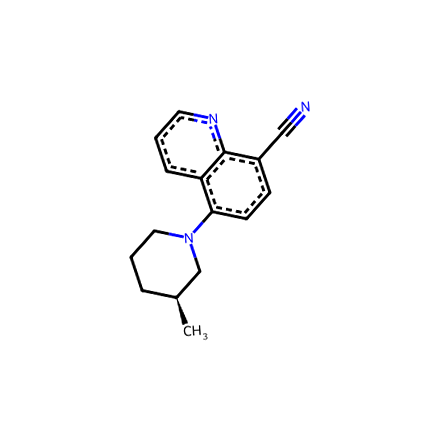 C[C@H]1CCCN(c2ccc(C#N)c3ncccc23)C1